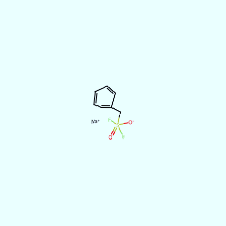 O=S([O-])(F)(F)Cc1ccccc1.[Na+]